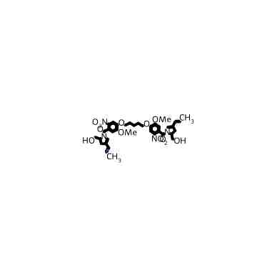 C/C=C/C1=CN(C(=O)c2cc(OC)c(OCCCCCOc3cc([N+](=O)[O-])c(C(=O)N4C=C(/C=C/C)CC4CO)cc3OC)cc2[N+](=O)[O-])C(CO)C1